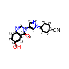 N#CB1CCC(n2cc(-n3cnc4ccc(O)cc4c3=O)cn2)CC1